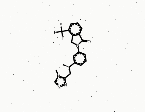 C[C@H](Cc1nncn1C)c1cccc(N2Cc3c(cccc3C(F)(F)F)C2=O)c1